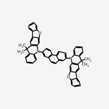 CC1(C)c2ccccc2N(c2ccc3c(ccc4cc(N5c6ccccc6C(C)(C)c6cc7c(cc65)oc5ccccc57)ccc43)c2)c2cc3oc4ccccc4c3cc21